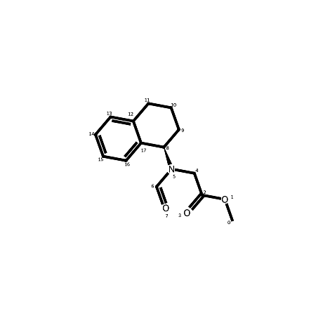 COC(=O)CN(C=O)[C@@H]1CCCc2ccccc21